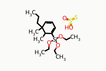 CCCC1(C)C=CC=C([Si](OCC)(OCC)OCC)C1C.O=[SH](O)=S